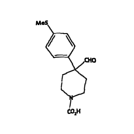 CSc1ccc(C2(C=O)CCN(C(=O)O)CC2)cc1